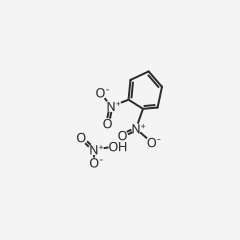 O=[N+]([O-])O.O=[N+]([O-])c1ccccc1[N+](=O)[O-]